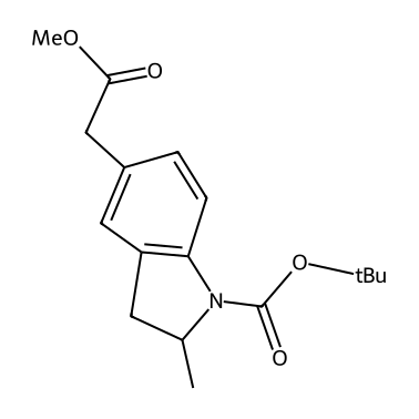 COC(=O)Cc1ccc2c(c1)CC(C)N2C(=O)OC(C)(C)C